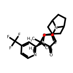 CC(C)(C)OC(=O)N1C2CCC1CC1(CC(=O)N(c3cc(C(F)(F)F)ccn3)C1)C2